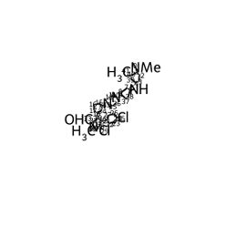 CNc1ccc(Nc2ccc(N3CCN(c4cccc(-c5c(-c6ccc(Cl)cc6)c(Cl)n(C)c5C=O)c4)CC3)cc2)cc1C